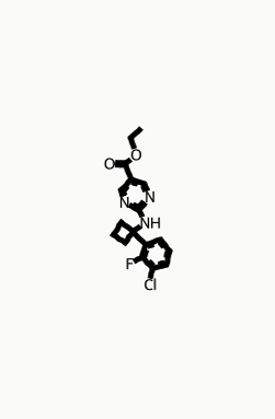 CCOC(=O)c1cnc(NC2(c3cccc(Cl)c3F)CCC2)nc1